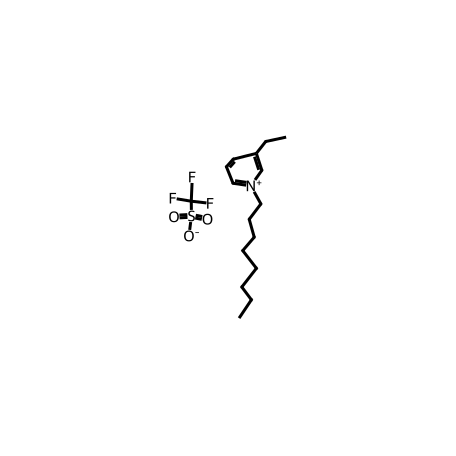 CCCCCCCC[n+]1cccc(CC)c1.O=S(=O)([O-])C(F)(F)F